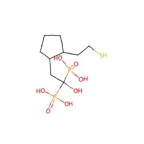 O=P(O)(O)C(O)(CC1CCCC1CCS)P(=O)(O)O